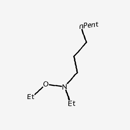 CCCCCCCCN(CC)OCC